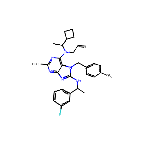 C=CCN(c1nc(C(=O)O)nc2nc(NC(C)c3cccc(F)c3)n(Cc3ccc(C(F)(F)F)cc3)c12)C(C)C1CCC1